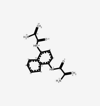 C=C(N)C(=O)Nc1ccc(NC(=O)C(=C)N)c2ccccc12